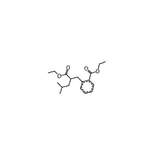 CCOC(=O)c1ccccc1CC(CC(C)C)C(=O)OCC